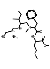 CCC(C)C(CN(C)C(Cc1ccccc1)C(=O)NC(CCSC)C(=O)OC)NC[C@H](N)CS